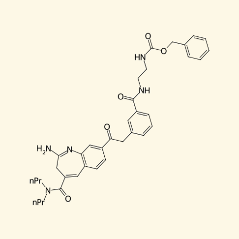 CCCN(CCC)C(=O)C1=Cc2ccc(C(=O)Cc3cccc(C(=O)NCCNC(=O)OCc4ccccc4)c3)cc2N=C(N)C1